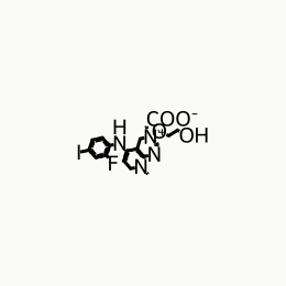 CN1CC=C(Nc2ccc(I)cc2F)C2=C1N=C[N+](CC(=O)[O-])(OCCO)C2